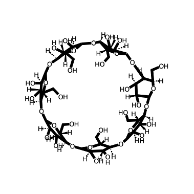 OC[C@H]1OC2O[C@H]3[C@H](O)[C@@H](O)C(O[C@H]4[C@H](O)[C@@H](O)C(O[C@H]5[C@H](O)[C@@H](O)C(O[C@H]6[C@H](O)[C@@H](O)C(O[C@H]7[C@H](O)[C@@H](O)C(O[C@H]8[C@H](O)[C@@H](O)C(O[C@H]1[C@H](O)[C@H]2O)O[C@@H]8CO)O[C@@H]7CO)O[C@@H]6CO)O[C@@H]5CO)O[C@@H]4CO)O[C@@H]3CO